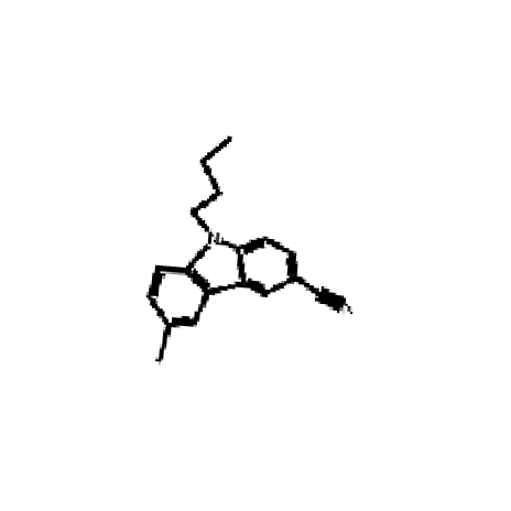 CCCCn1c2ccc(C)cc2c2cc(C#N)ccc21